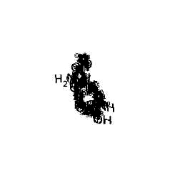 Cc1ccc2onc(C(=O)N3CC[C@H]4CC[C@@H](C(=O)N5CCN(c6cc(C(C(=O)N7C[C@H](O)C[C@H]7C(=O)N[C@H](C)c7ccc(-c8scnc8C)cc7)C(C)C)on6)CC5)N4C(=O)[C@@H](N)C3)c2c1